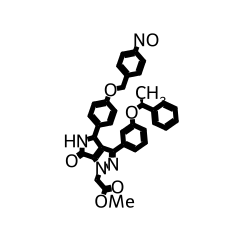 COC(=O)Cn1nc(-c2cccc(O[C@@H](C)c3ccccc3)c2)c2c1C(=O)NC2c1ccc(OCc2ccc(N=O)cc2)cc1